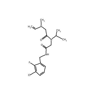 C=CN(C)CC(=O)N(CC(=O)NCc1cccc(Cl)c1F)C(C)C